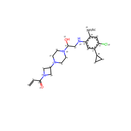 C=CC(=O)N1CC(N2CCN(C(O)CNc3cc(C4CC4)c(Cl)cc3NC(C)=O)CC2)C1